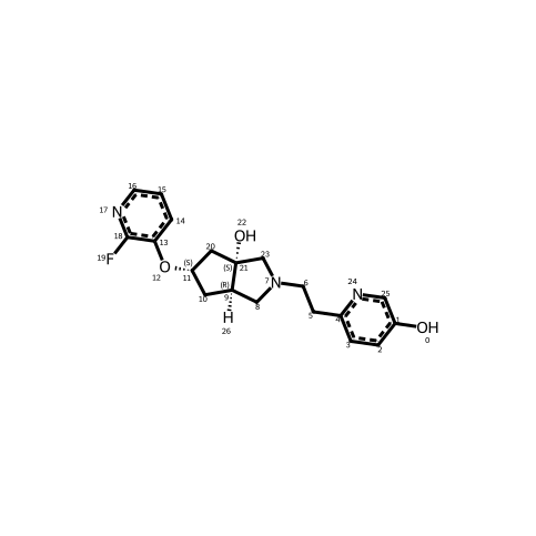 Oc1ccc(CCN2C[C@H]3C[C@H](Oc4cccnc4F)C[C@@]3(O)C2)nc1